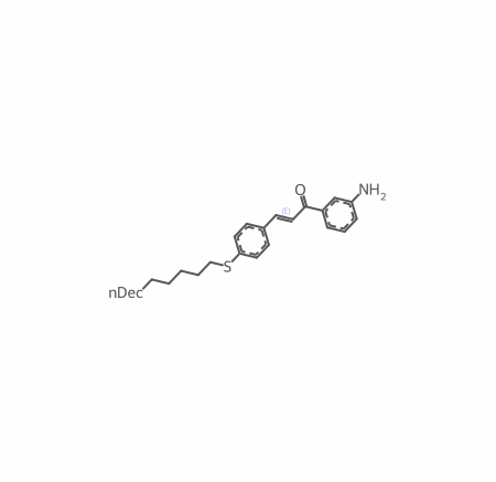 CCCCCCCCCCCCCCCSc1ccc(/C=C/C(=O)c2cccc(N)c2)cc1